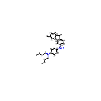 CCCCN(CCCC)c1ccc(Nc2ccc3c(c2)-c2cc(C)ccc2C3)cc1